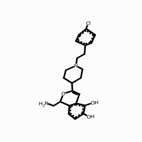 NCC1OC(C2CCN(CCc3ccc(Cl)cc3)CC2)=Cc2c1ccc(O)c2O